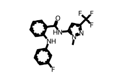 Cn1nc(C(F)(F)F)cc1NC(=O)c1ccccc1Nc1cccc(F)c1